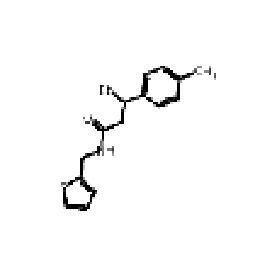 CCC(CC(=O)NCc1cccs1)c1ccc(C)cc1